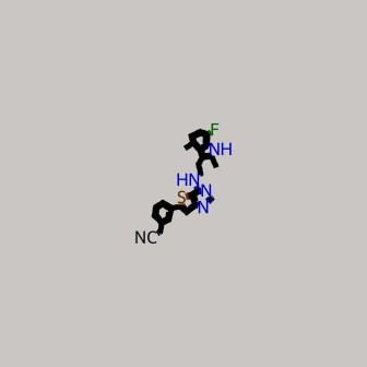 Cc1[nH]c2c(F)ccc(C)c2c1CCNc1ncnc2cc(-c3cccc(CC#N)c3)sc12